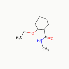 CCOC1CCCCC1C(=O)NC